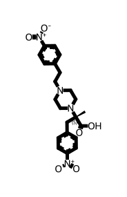 C[C@](Cc1ccc([N+](=O)[O-])cc1)(C(=O)O)N1CCN(CCc2ccc([N+](=O)[O-])cc2)CC1